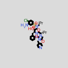 CC(C)CN(C[C@H](O)[C@H](Cc1ccccc1)NC(=O)[C@H](C(C)C)N1CC(=O)N(Cc2ccncc2)C1=O)S(=O)(=O)c1ccc(Cl)c(N)c1